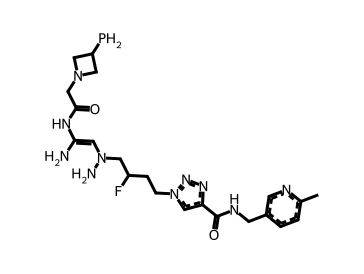 Cc1ccc(CNC(=O)c2cn(CCC(F)CN(N)/C=C(\N)NC(=O)CN3CC(P)C3)nn2)cn1